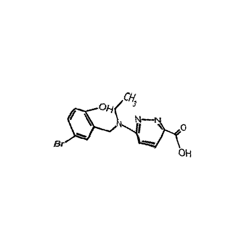 CCN(Cc1cc(Br)ccc1O)c1ccc(C(=O)O)nn1